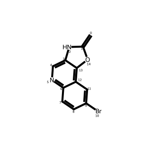 C=C1Nc2cnc3ccc(Br)cc3c2O1